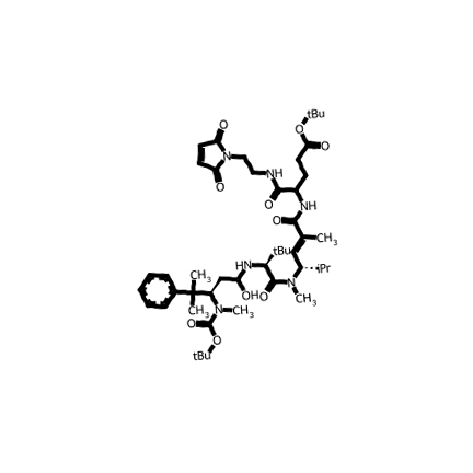 C/C(=C\[C@H](C(C)C)N(C)C(=O)[C@@H](NC(O)C[C@@H](N(C)C(=O)OC(C)(C)C)C(C)(C)c1ccccc1)C(C)(C)C)C(=O)NC(CCC(=O)OC(C)(C)C)C(=O)NCCN1C(=O)C=CC1=O